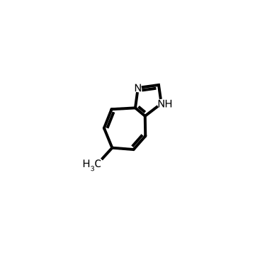 CC1C=Cc2nc[nH]c2C=C1